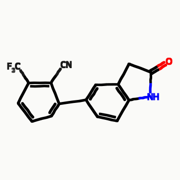 N#Cc1c(-c2ccc3c(c2)CC(=O)N3)cccc1C(F)(F)F